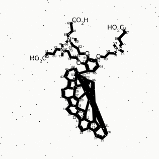 CN1CC23C4=c5ccc6c7ccc8c9ccc%10c%11ccc%12c%13c(c%14c%15c2c5c6c2c7c8c5c9c%10c(c%13%11)c%14c5c%152)C3(C=%12C=C4)C1c1ccc(OCCC[N+](C)(C)CCCC(=O)O)c(OCCC[N+](C)(C)CCCC(=O)O)c1OCCC[N+](C)(C)CCCC(=O)O